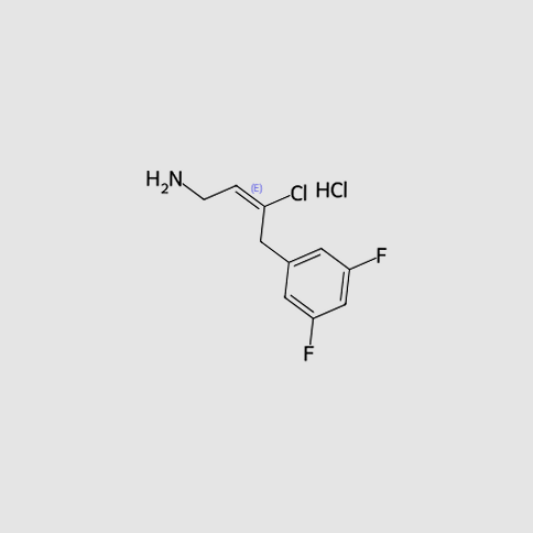 Cl.NC/C=C(/Cl)Cc1cc(F)cc(F)c1